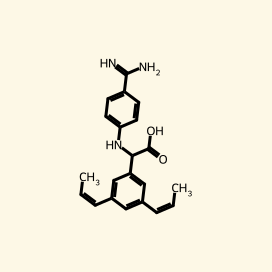 C/C=C\c1cc(/C=C\C)cc(C(Nc2ccc(C(=N)N)cc2)C(=O)O)c1